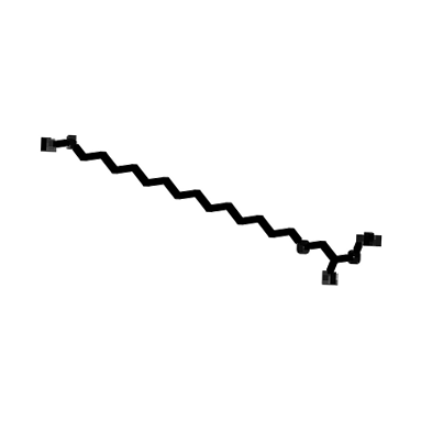 CCCCOC(CC)COCCCCCCCCCCCCCCSCC